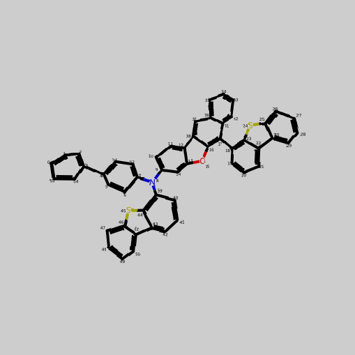 c1ccc(-c2ccc(N(c3ccc4c(c3)oc3c(-c5cccc6c5sc5ccccc56)c5ccccc5cc34)c3cccc4c3sc3ccccc34)cc2)cc1